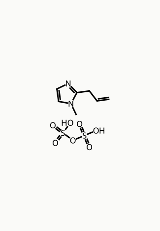 C=CCc1nccn1C.O=S(=O)(O)OS(=O)(=O)O